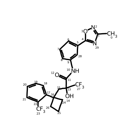 Cc1noc(-c2cccc(NC(=O)C(O)(CC3(c4ccccc4C(F)(F)F)CCC3)C(F)(F)F)c2)n1